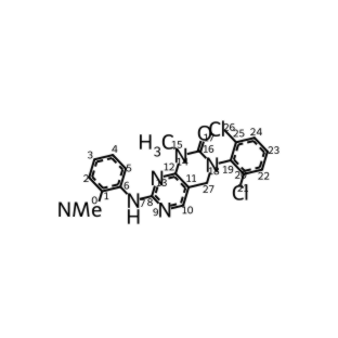 CNc1ccccc1Nc1ncc2c(n1)N(C)C(=O)N(c1c(Cl)cccc1Cl)C2